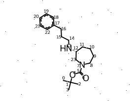 CC(C)(C)OC(=O)N1CCCC[C@@H](NCCCc2ccccc2)C1